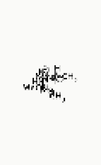 C=CC(=O)N[C@@H]1CN(c2nc(Nc3cn(C4CCN(C)C4)nc3OC)c3ncn(C(C)C)c3n2)C[C@H]1F